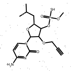 C#CCOC1C(OP(=O)(S)OC)C(CC(C)C)OC1n1ccc(N)nc1=O